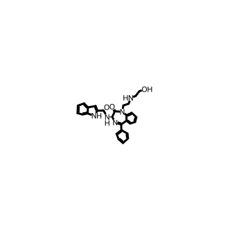 O=C(N[C@H]1N=C(c2ccccc2)c2ccccc2N(CCNCCO)C1=O)c1cc2ccccc2[nH]1